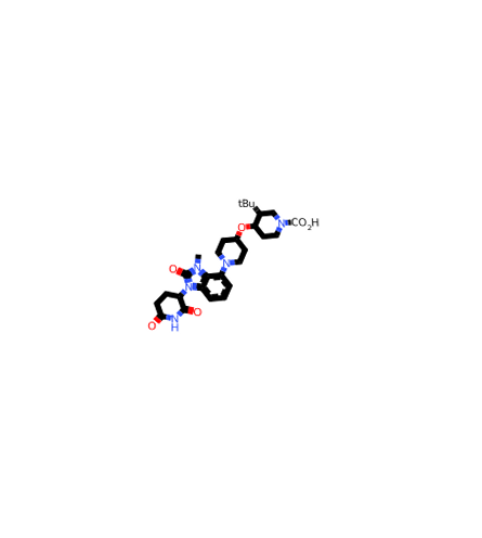 Cn1c(=O)n(C2CCC(=O)NC2=O)c2cccc(N3CCC(OC4CCN(C(=O)O)CC4C(C)(C)C)CC3)c21